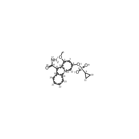 COc1cc(OS(=O)(=O)C2CC2)cn2c1c(C(N)=O)c1ccccc12